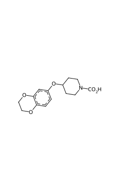 O=C(O)N1CCC(Oc2ccc3c(c2)OCCO3)CC1